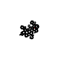 Cc1cccc(C)c1B1c2cc(C3(C)CCCCC3)cc3c2-n2c4c1c1c5c(c6c7ccccc7oc6c1n4c(=O)n1c4c(c6c(c7oc8ccccc8c74)C4CC7CC(C4)CC6C7)c(c21)B3c1c(C)cccc1C)C1CC(=C5)CC(C)C1